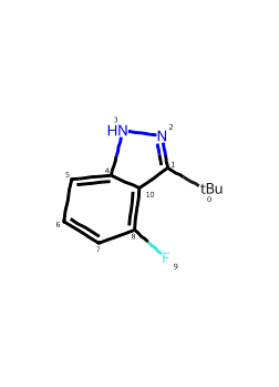 CC(C)(C)c1n[nH]c2cccc(F)c12